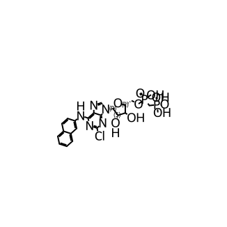 O=P(O)(O)CP(=O)(O)OC[C@H]1O[C@@H](n2cnc3c(Nc4ccc5ccccc5c4)nc(Cl)nc32)[C@@H](O)C1O